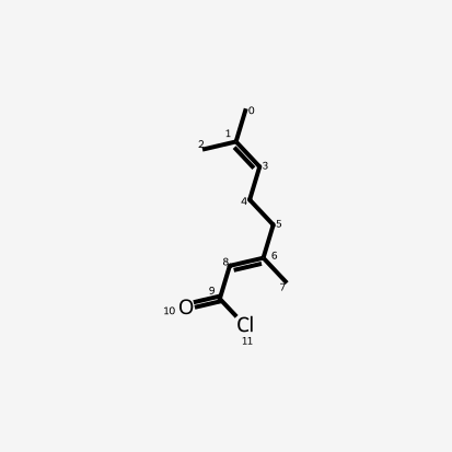 CC(C)=CCCC(C)=CC(=O)Cl